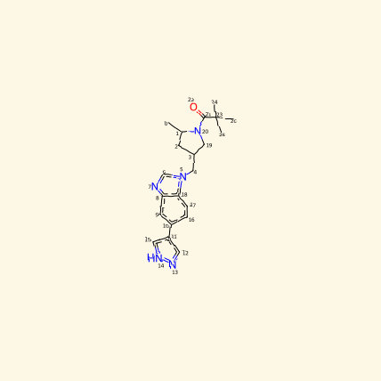 CC1CC(Cn2cnc3cc(-c4cn[nH]c4)ccc32)CN1C(=O)C(C)(C)C